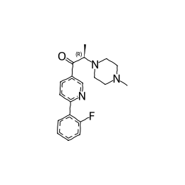 C[C@H](C(=O)c1ccc(-c2ccccc2F)nc1)N1CCN(C)CC1